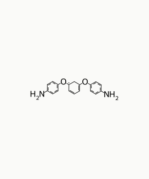 Nc1ccc(O[C]2C=CC=C(Oc3ccc(N)cc3)C2)cc1